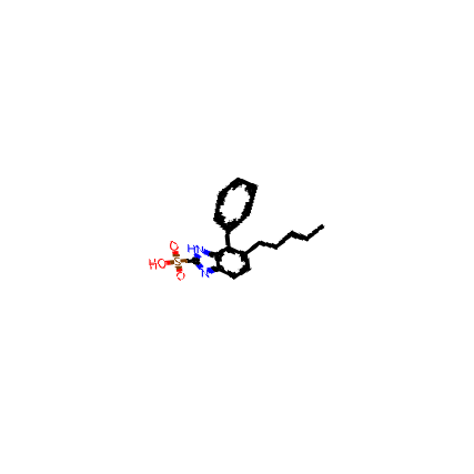 CCCCCc1ccc2nc(S(=O)(=O)O)[nH]c2c1-c1ccccc1